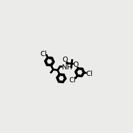 CC(c1ccc(Cl)cc1)C(CNC(=O)C(C)(C)Oc1cc(Cl)cc(Cl)c1)c1ccccc1